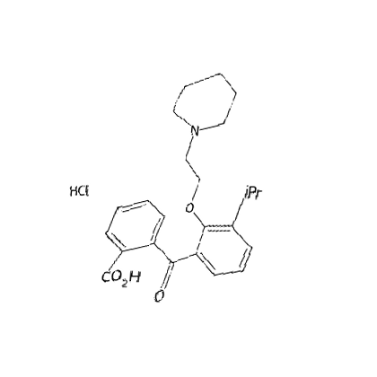 CC(C)c1cccc(C(=O)c2ccccc2C(=O)O)c1OCCN1CCCCC1.Cl